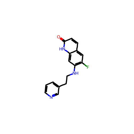 O=c1ccc2cc(F)c(NCCc3cccnc3)cc2[nH]1